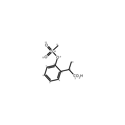 CC(C(=O)O)c1ccccc1OS(C)(=O)=O